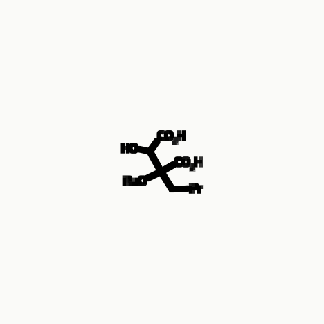 CC(C)COC(CC(C)C)(C(=O)O)C(O)C(=O)O